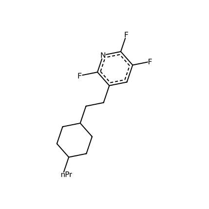 CCCC1CCC(CCc2cc(F)c(F)nc2F)CC1